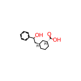 O=C(O)[C@@H]1CCC[C@@H](CC(O)c2ccccc2)C1